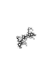 CCCCN1/C(=C/C=C2\CCCC(/C=C/C3=[N+](CCCC)c4ccc(Br)cc4C3(C)C)=C2Cl)C(C)(C)c2cc(Br)ccc21